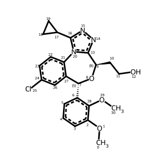 COc1cccc([C@H]2O[C@H](CCO)c3nnc(C4CC4)n3-c3ccc(Cl)cc32)c1OC